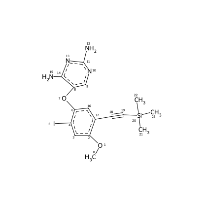 COc1cc(I)c(Oc2cnc(N)nc2N)cc1C#C[Si](C)(C)C